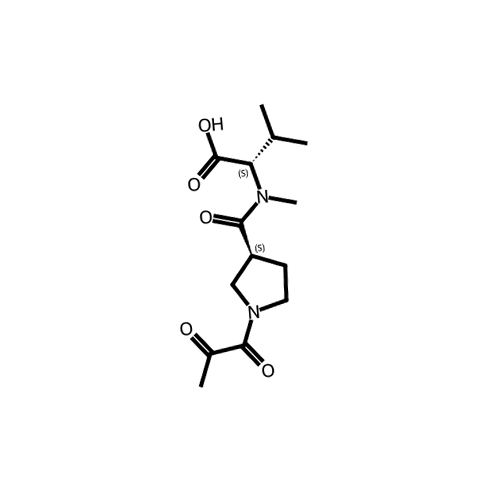 CC(=O)C(=O)N1CC[C@H](C(=O)N(C)[C@H](C(=O)O)C(C)C)C1